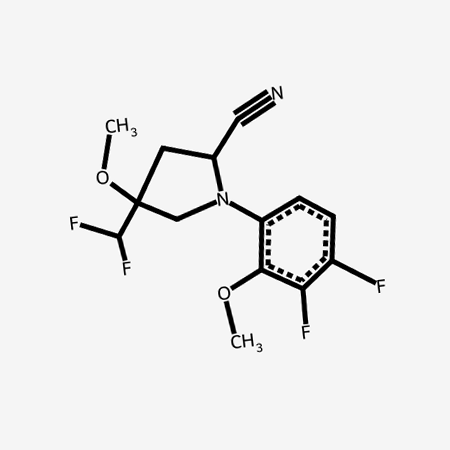 COc1c(N2CC(OC)(C(F)F)CC2C#N)ccc(F)c1F